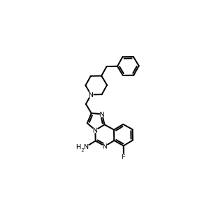 Nc1nc2c(F)cccc2c2nc(CN3CCC(Cc4ccccc4)CC3)cn12